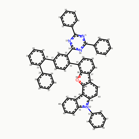 c1ccc(-c2nc(-c3ccccc3)nc(-c3cc(-c4ccccc4-c4ccccc4)ccc3-c3cccc4c3oc3c4ccc4c3c3ccccc3n4-c3ccccc3)n2)cc1